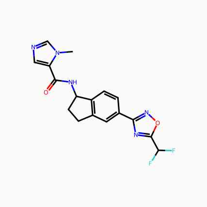 Cn1cncc1C(=O)NC1CCc2cc(-c3noc(C(F)F)n3)ccc21